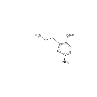 COc1ccc(N)cc1CCN